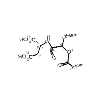 CCCCCCCCCC(=O)OC(CCCCCC)C(=O)N[C@H](CC(=O)O)C(=O)O